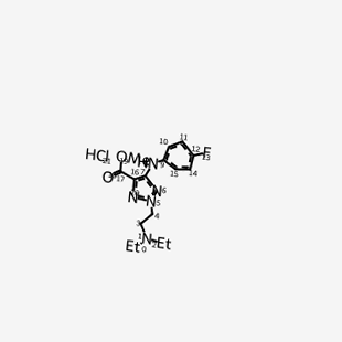 CCN(CC)CCn1nc(Nc2ccc(F)cc2)c(C(=O)OC)n1.Cl